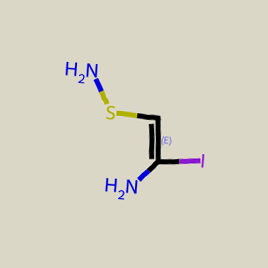 NS/C=C(\N)I